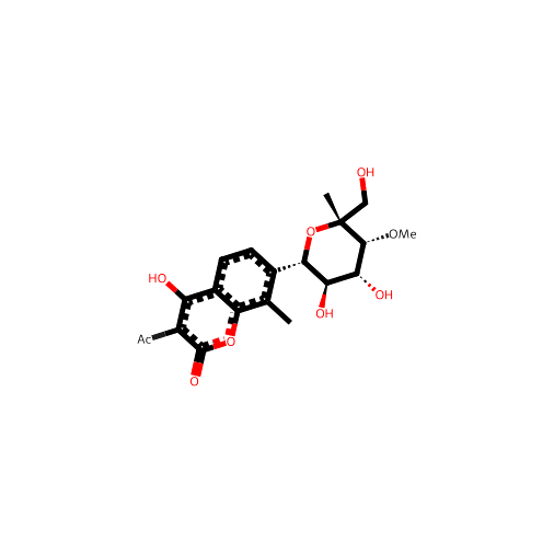 CO[C@@H]1[C@H](O)[C@@H](O)[C@H](c2ccc3c(O)c(C(C)=O)c(=O)oc3c2C)O[C@]1(C)CO